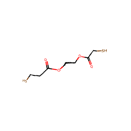 O=C(CS)OCCOC(=O)CCS